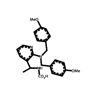 COc1ccc(CN(Cc2ccc(OC)cc2)c2ncccc2C(C)NC(=O)O)cc1